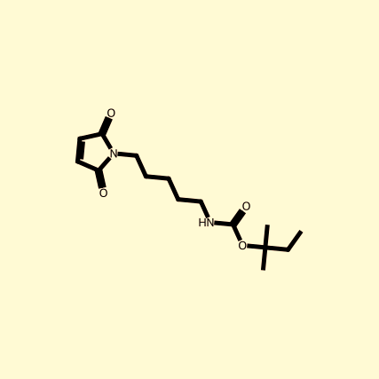 CCC(C)(C)OC(=O)NCCCCCN1C(=O)C=CC1=O